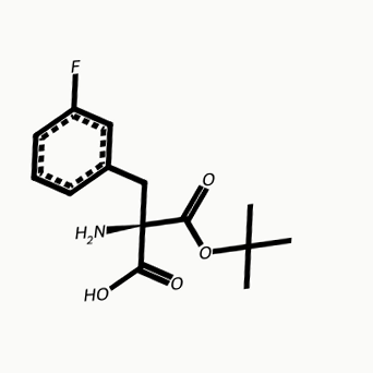 CC(C)(C)OC(=O)[C@@](N)(Cc1cccc(F)c1)C(=O)O